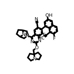 C#Cc1c(F)ccc2cc(O)cc(-c3c(C#N)cc4c(N5CC6CCC(C5)N6)nc(OCC56CCCN5CCC6)nc4c3F)c12